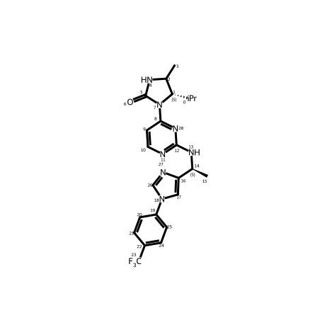 CC(C)[C@H]1C(C)NC(=O)N1c1ccnc(N[C@@H](C)c2cn(-c3ccc(C(F)(F)F)cc3)cn2)n1